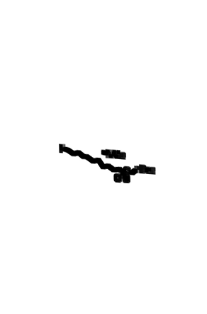 CCCCCCCCCCCOS(=O)(=O)CCCCCCCCCCCF.CNC